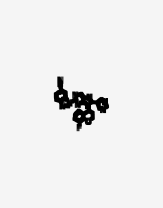 N#Cc1ccc2ncn(-c3ncc4nc(-c5cncnc5)n(C5CCOc6c(F)cccc65)c4n3)c2c1